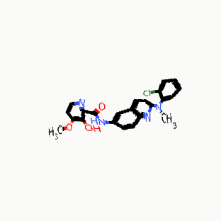 COc1ccnc(C(=O)Nc2ccc3nc(N(C)c4ccccc4Cl)ccc3c2)c1O